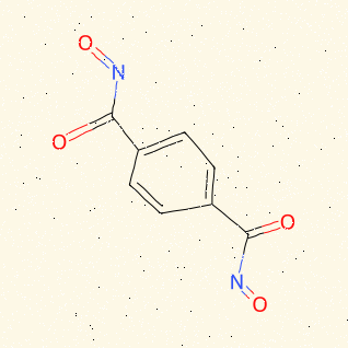 O=NC(=O)c1ccc(C(=O)N=O)cc1